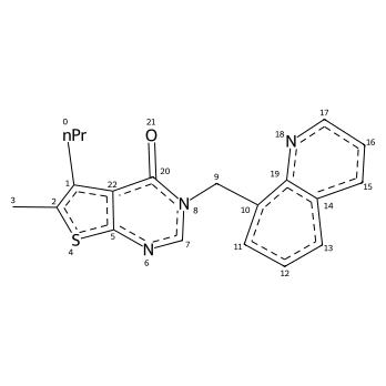 CCCc1c(C)sc2ncn(Cc3cccc4cccnc34)c(=O)c12